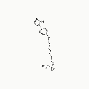 O=C(O)C1(OCCCCCCCOc2ccc(-c3ccn[nH]3)nc2)CC1